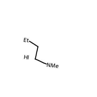 CCCCNC.I